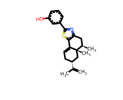 C=C(C)[C@@H]1CC=C2c3sc(-c4cccc(O)c4)nc3C[C@@H](C)[C@]2(C)C1